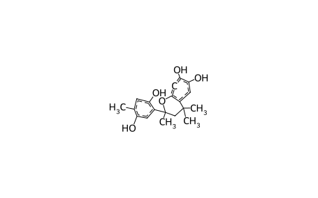 Cc1cc(O)c(C2(C)CC(C)(C)c3cc(O)c(O)cc3O2)cc1O